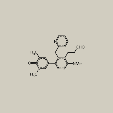 CNc1ccc(-c2cc(C)c(=O)n(C)c2)c(Cc2ccccn2)c1CCC=O